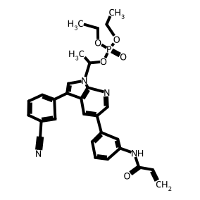 C=CC(=O)Nc1cccc(-c2cnc3c(c2)c(-c2cccc(C#N)c2)cn3C(C)OP(=O)(OCC)OCC)c1